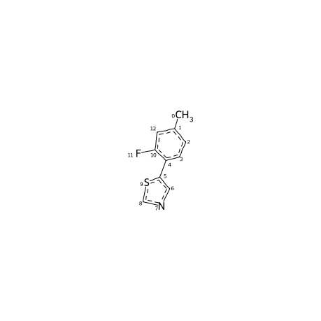 Cc1ccc(-c2cncs2)c(F)c1